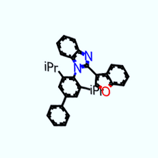 CC(C)c1cc(-c2ccccc2)cc(C(C)C)c1-n1c(-c2coc3ccccc23)nc2ccccc21